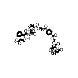 COC(=O)C=C(C)NC(C(=O)N[C@@H]1C(=O)N2[C@@H]1SC(C)(C)[C@@H]2C(=O)OCOC(=O)[C@H]1CC[C@H](C(=O)OCOC(=O)[C@@H]2N3C(=O)C[C@H]3S(=O)(=O)C2(C)C)CC1)c1ccccc1